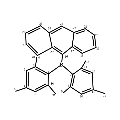 Cc1cc(C)c(B(c2c(C)cc(C)cc2C)c2c3ccccc3cc3ccccc23)c(C)c1